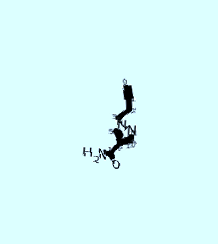 C#CCCn1cc(C(N)=O)cn1